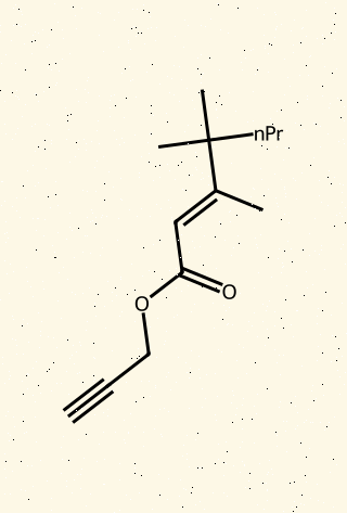 C#CCOC(=O)/C=C(\C)C(C)(C)CCC